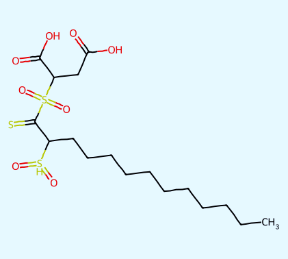 CCCCCCCCCCCC(C(=S)S(=O)(=O)C(CC(=O)O)C(=O)O)[SH](=O)=O